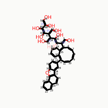 BC(/C(=C/O)c1ccccccc(-c2ccc3oc4c5ccccc5ccc4c3c2)c2ccccc12)=C(O)\C(=C\O)C(=C/O)\C(O)=C(O)/C(O)=C/O